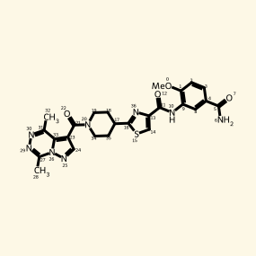 COc1ccc(C(N)=O)cc1NC(=O)c1csc(C2CCN(C(=O)c3cnn4c(C)nnc(C)c34)CC2)n1